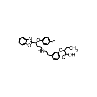 CCC(Oc1cccc(CCNCCC(Oc2ccc(F)cc2)c2nc3ccccc3o2)c1)C(=O)O